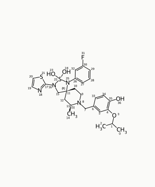 CC(C)Oc1cc(CN2CC[C@@]3(C[C@@H]2C)CN(c2nccs2)S(O)(O)N3c2cccc(F)c2)ccc1O